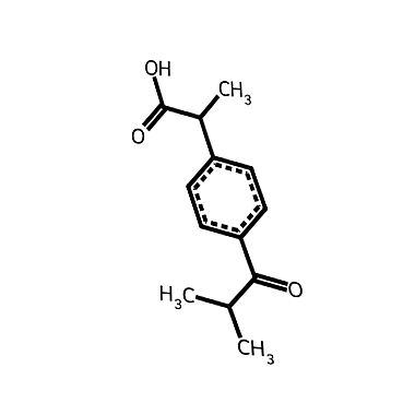 CC(C)C(=O)c1ccc(C(C)C(=O)O)cc1